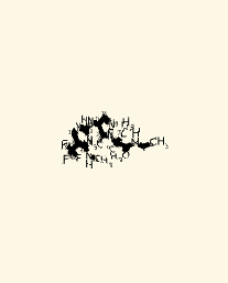 CCNC(=O)C(C)(C)N1N=CC(Nc2ncc(C(F)(F)F)c(NC)n2)[C@@H]1C